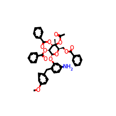 COc1ccc(Cc2ccc(N)cc2O[C@H]2O[C@H](COC(=O)c3ccccc3)[C@@](C)(OC(C)=O)[C@H](OC(=O)c3ccccc3)[C@H]2OC(=O)c2ccccc2)cc1